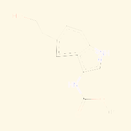 CC(C)(C)OC(=O)Nc1c[nH]c2ccc(CCO)cc12